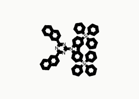 c1ccc([Si](c2ccccc2)(c2ccccc2)c2ccc3c(c2)c2cc([Si](c4ccccc4)(c4ccccc4)c4ccccc4)ccc2n3-c2nc(-c3ccc4ccccc4c3)nc(-c3ccc4ccccc4c3)n2)cc1